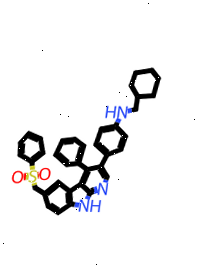 O=S(=O)(Cc1ccc2[nH]c3ncc(-c4ccc(NCC5CCCCC5)cc4)c(-c4ccccc4)c3c2c1)c1ccccc1